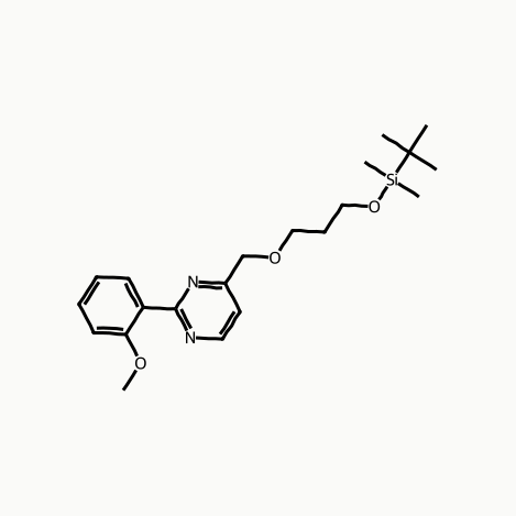 COc1ccccc1-c1nccc(COCCCO[Si](C)(C)C(C)(C)C)n1